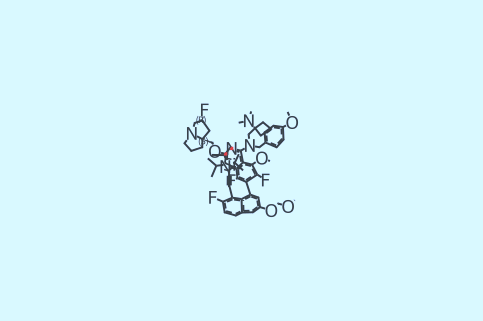 COCOc1cc(-c2c(F)c(OC)c3c(N(Cc4ccc(OC)cc4)CC4(N(C)C)CCC4)nc(OC[C@@]45CCCN4C[C@H](F)C5)nc3c2F)c2c(C#C[Si](C(C)C)(C(C)C)C(C)C)c(F)ccc2c1